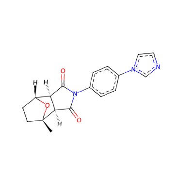 C[C@@]12CC[C@@H](O1)[C@H]1C(=O)N(c3ccc(-n4ccnc4)cc3)C(=O)[C@H]12